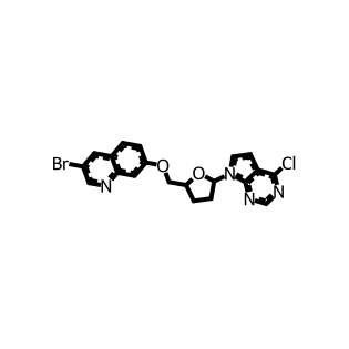 Clc1ncnc2c1ccn2C1CCC(COc2ccc3cc(Br)cnc3c2)O1